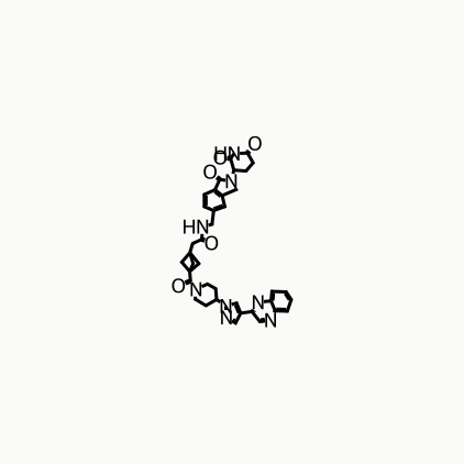 O=C(CC12CC(C(=O)N3CCC(n4cc(-c5cnc6ccccc6n5)cn4)CC3)(C1)C2)NCc1ccc2c(c1)CN(C1CCC(=O)NC1=O)C2=O